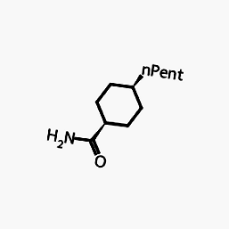 CCCCC[C@H]1CC[C@@H](C(N)=O)CC1